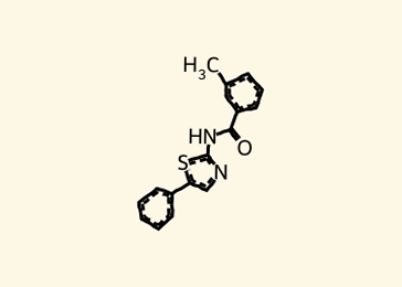 Cc1cccc(C(=O)Nc2ncc(-c3ccccc3)s2)c1